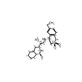 CCc1ccc2c(c1)[C@@H](NC[C@@H](O)[C@H](CC1CCCCC1)NC=O)CS(=O)(=O)C2